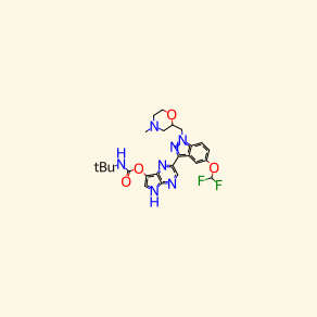 CN1CCOC(Cn2nc(-c3cnc4[nH]cc(OC(=O)NC(C)(C)C)c4n3)c3cc(OC(F)F)ccc32)C1